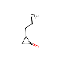 O=C(O)CCC1CC1=O